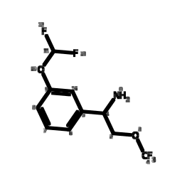 NC(COC(F)(F)F)c1cccc(OC(F)F)c1